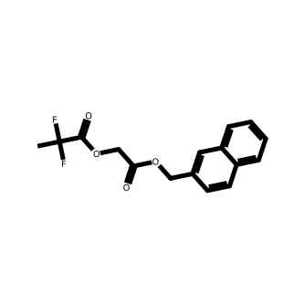 CC(F)(F)C(=O)OCC(=O)OCc1ccc2ccccc2c1